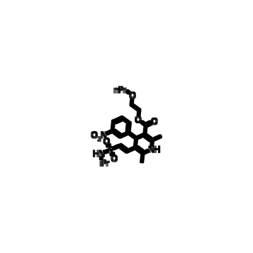 CCCOCCOC(=O)C1=C(C)NC(C)=C(C=CS(=O)(=O)NC(C)C)C1c1cccc([N+](=O)[O-])c1